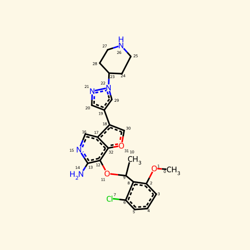 COc1cccc(Cl)c1C(C)Oc1c(N)ncc2c(-c3cnn(C4CCNCC4)c3)coc12